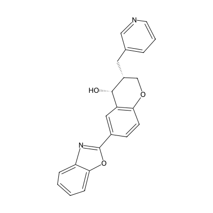 O[C@H]1c2cc(-c3nc4ccccc4o3)ccc2OC[C@H]1Cc1cccnc1